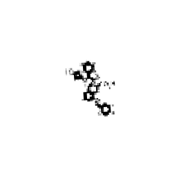 O=C(O)C1Cc2c(cccc2OCc2ccccc2)CN1C(=O)C(OC1CC(O)C1)c1ccccc1